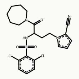 N#Cc1cccn1CCC(NS(=O)(=O)c1c(Cl)cccc1Cl)C(=O)N1CCCCCC1